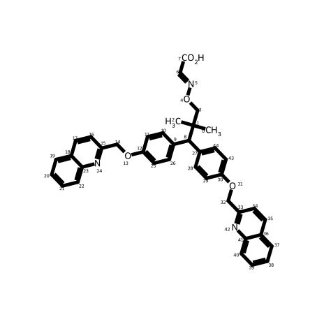 CC(C)(CON=CC(=O)O)C(c1ccc(OCc2ccc3ccccc3n2)cc1)c1ccc(OCc2ccc3ccccc3n2)cc1